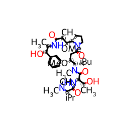 CC[C@H](C)[C@@H]([C@@H](CC(=O)N1CCC[C@H]1[C@H](OC)[C@@H](C)C(=O)N[C@H](C)[C@@H](O)c1ccccc1)OC)N(C)C(=O)[C@@H](NC(=O)[C@H](C(C)C)N(C)C)[C@@H](C)O